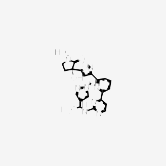 CC(Nc1nccc(-c2cccc(-c3cc([C@]4(O)CCN(C)C4=O)on3)n2)n1)c1cnn(C)c1